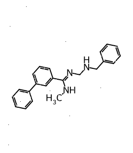 CN/C(=N\CNCc1ccccc1)c1cccc(-c2ccccc2)c1